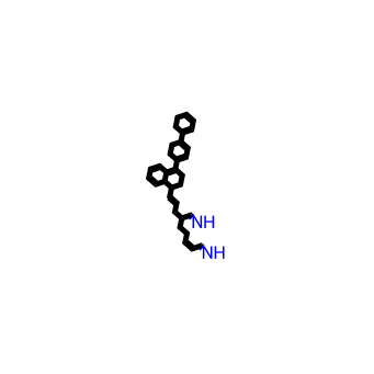 N=C/C=C\CCC(C=N)C/C=C/C1CCC(C2=CC=C(C3=CC=CCC3)CC2)=C2C=CC=CC21